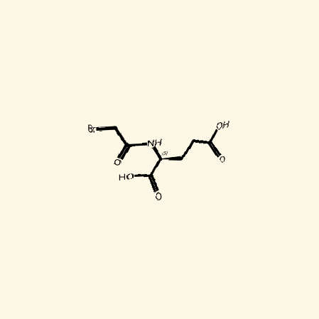 O=C(O)CC[C@H](NC(=O)CBr)C(=O)O